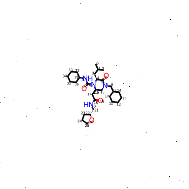 CC(C)C[C@H]1C(=O)N(CC2CCCCC2)CC(CC(=O)NC[C@H]2CCCO2)N1C(=O)NC1CCCCC1